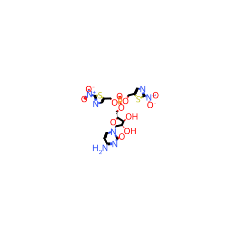 Nc1ccn([C@@H]2O[C@H](COP(=O)(OCc3cnc([N+](=O)[O-])s3)OCc3cnc([N+](=O)[O-])s3)[C@@H](O)[C@@H]2O)c(=O)n1